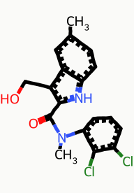 Cc1ccc2[nH]c(C(=O)N(C)c3cccc(Cl)c3Cl)c(CO)c2c1